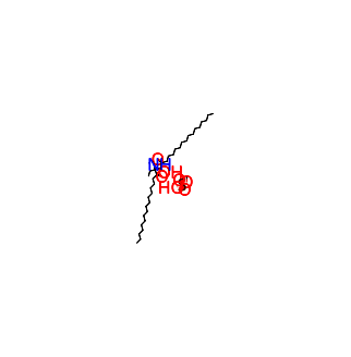 CCCCCCCCCCCCCCCC(=O)C(O)C(CC)(NC)C(=O)CCCCCCCCCCCCCCC.COS(=O)(=O)O